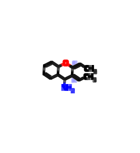 C/C=C1\C(=C/C)OC2C=CC=CC2C1N